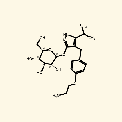 CC(C)c1[nH]nc(O[C@@H]2O[C@H](CO)[C@@H](O)[C@H](O)[C@H]2O)c1Cc1ccc(OCCN)cc1